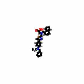 CN(Cc1ccccc1)c1ccc(-c2csc(CN(CC(=O)O)Cc3cccc4ccccc34)n2)cc1